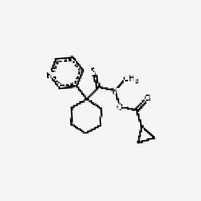 CN(OC(=O)C1CC1)C(=S)C1(c2cccnc2)CCCCC1